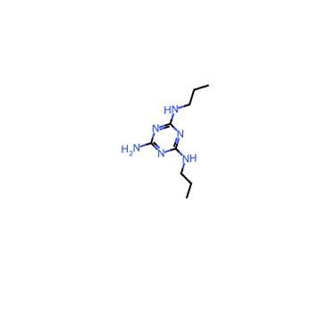 CCCNc1nc(N)nc(NCCC)n1